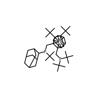 CC(C)(C)P(C[C]12[C]3(CP(C(C)(C)C)C(C)(C)C)[CH]4[C]5(C(C)(C)C)[C]1(C(C)(C)C)[Fe]43251678[CH]2[CH]1[CH]6[CH]7[CH]28)C1C2CC3CC(C2)CC1C3